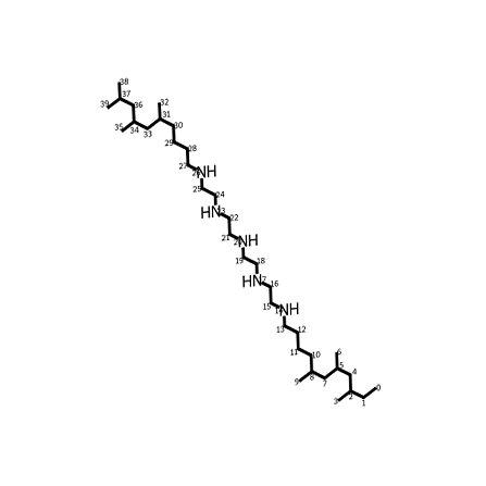 CCC(C)CC(C)CC(C)CCCCNCCNCCNCCNCCNCCCCC(C)CC(C)CC(C)C